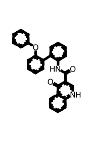 O=C(Nc1ccccc1-c1ccccc1Oc1ccccc1)c1c[nH]c2ccccc2c1=O